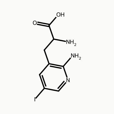 Nc1ncc(I)cc1CC(N)C(=O)O